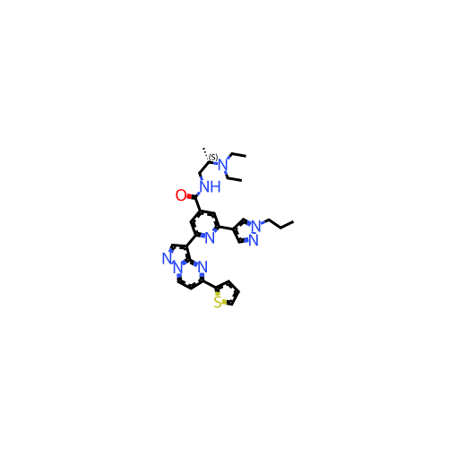 CCCn1cc(-c2cc(C(=O)NC[C@H](C)N(CC)CC)cc(-c3cnn4ccc(-c5cccs5)nc34)n2)cn1